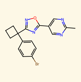 Cc1ncc(-c2nc(C3(c4ccc(Br)cc4)CCC3)no2)cn1